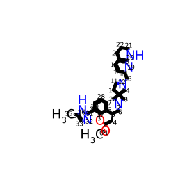 COC(=O)C[C@H](CN1CC2(CCN(Cc3ccc4c(n3)NCCC4)C2)C1)c1cccc(-c2ncc(C)[nH]2)c1